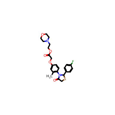 Cc1cc(OCC(=O)OCCN2CCOCC2)ccc1N1C(=O)CSC1c1ccc(F)cc1